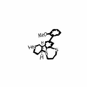 COc1ccccc1-c1cc2c3c(c1)[C@@H]1CNCC[C@@H]1N3CCCS2